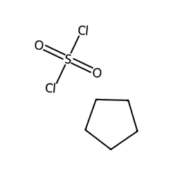 C1CCCC1.O=S(=O)(Cl)Cl